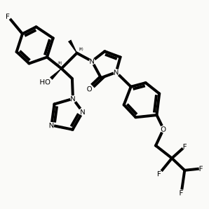 C[C@@H](n1ccn(-c2ccc(OCC(F)(F)C(F)F)cc2)c1=O)[C@](O)(Cn1cncn1)c1ccc(F)cc1